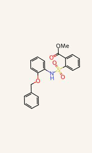 COC(=O)c1ccccc1S(=O)(=O)Nc1ccccc1OCc1ccccc1